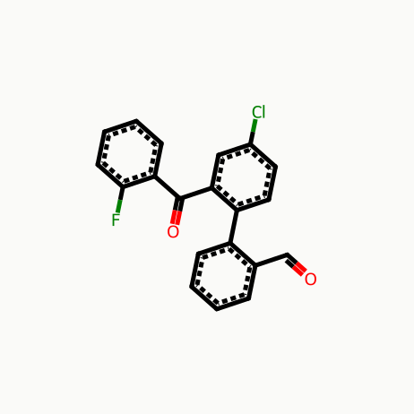 O=Cc1ccccc1-c1ccc(Cl)cc1C(=O)c1ccccc1F